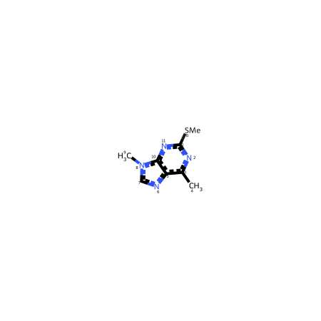 CSc1nc(C)c2ncn(C)c2n1